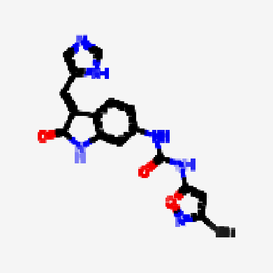 CC(C)(C)c1cc(NC(=O)Nc2ccc3c(c2)NC(=O)C3=Cc2cnc[nH]2)on1